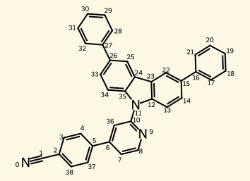 N#Cc1ccc(-c2ccnc(-n3c4ccc(-c5ccccc5)cc4c4cc(-c5ccccc5)ccc43)c2)cc1